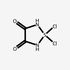 O=C1NS(Cl)(Cl)NC1=O